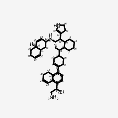 CCC(CN)c1ccc(C2=CCC(C(C)C3CCCCC3C(CNC3C=C[C@H]4CCC=CC4C3)C3=CNCC3)CC2)c2c1C=CCC2